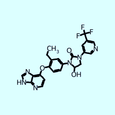 CCc1cc(N2C(=O)N(c3cncc(C(F)(F)F)c3)CC2O)ccc1Oc1ccnc2[nH]cnc12